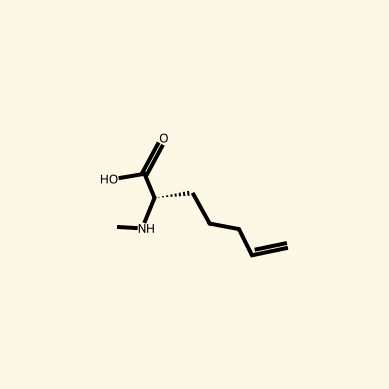 C=CCCC[C@H](NC)C(=O)O